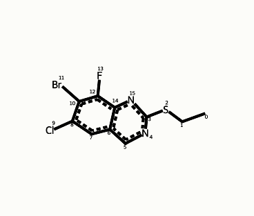 CCSc1ncc2cc(Cl)c(Br)c(F)c2n1